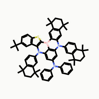 CC(C)(C)c1ccc2sc3c(c2c1)N(c1ccc2c(c1)C(C)(C)CCC2(C)C)c1cc(N(c2ccccc2)c2ccccc2)cc2c1B3c1cc3c(cc1N2c1ccc2c(c1)C(C)(C)CCC2(C)C)C(C)(C)CCC3(C)C